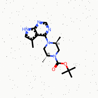 Cc1c[nH]c2ncnc(N3C[C@@H](C)N(C(=O)OC(C)(C)C)C[C@@H]3C)c12